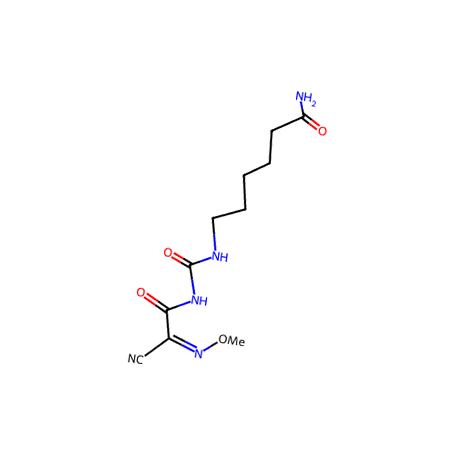 CO/N=C(/C#N)C(=O)NC(=O)NCCCCCC(N)=O